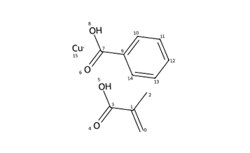 C=C(C)C(=O)O.O=C(O)c1ccccc1.[Cu]